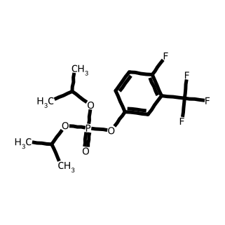 CC(C)OP(=O)(Oc1ccc(F)c(C(F)(F)F)c1)OC(C)C